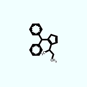 CCC(C)C1=C(C(c2ccccc2)c2ccccc2)CC=C1